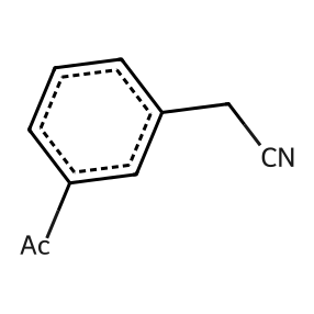 CC(=O)c1cccc(CC#N)c1